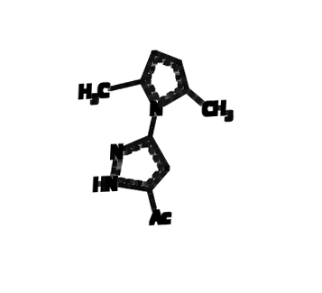 CC(=O)c1cc(-n2c(C)ccc2C)n[nH]1